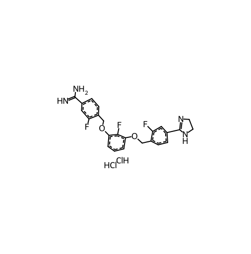 Cl.Cl.N=C(N)c1ccc(COc2cccc(OCc3ccc(C4=NCCN4)cc3F)c2F)c(F)c1